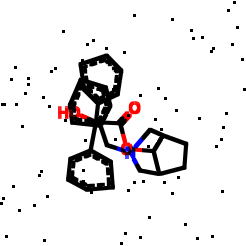 O=C(OC1C2CCC1CN(Cc1ccccc1)C2)C(O)(c1ccccc1)c1ccccc1